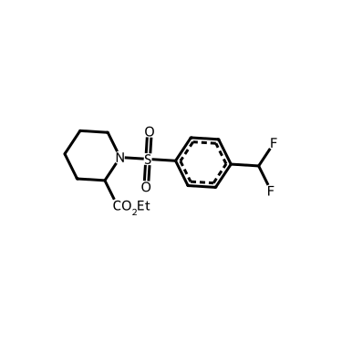 CCOC(=O)C1CCCCN1S(=O)(=O)c1ccc(C(F)F)cc1